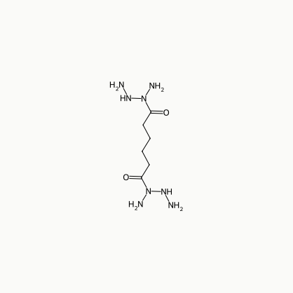 NNN(N)C(=O)CCCCC(=O)N(N)NN